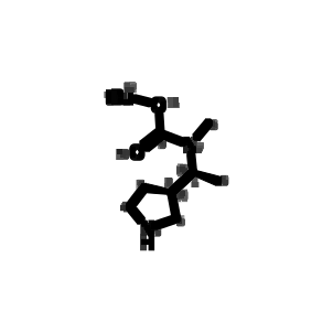 C[C@@H]([C@@H]1CCNC1)N(C)C(=O)OC(C)(C)C